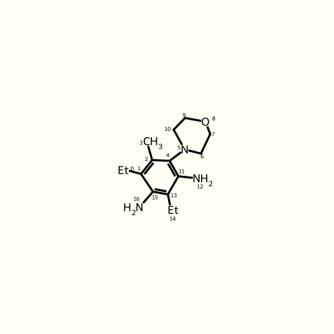 CCc1c(C)c(N2CCOCC2)c(N)c(CC)c1N